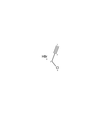 Br.C#CCCl